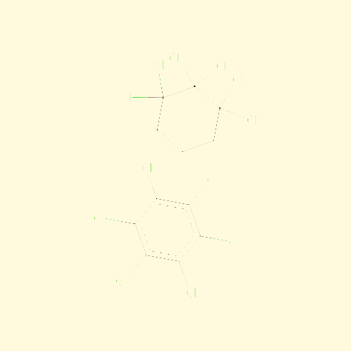 ClC1(Cl)CCCC(Cl)(Cl)C1(Cl)Cl.Clc1c(Cl)c(Cl)c(Cl)c(Cl)c1Cl